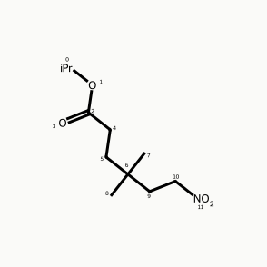 CC(C)OC(=O)CCC(C)(C)CC[N+](=O)[O-]